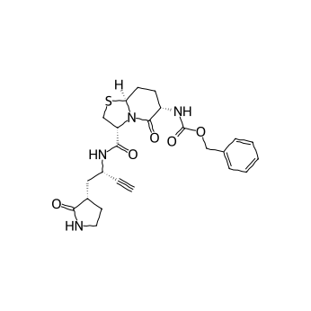 C#C[C@H](C[C@@H]1CCNC1=O)NC(=O)[C@@H]1CS[C@H]2CC[C@H](NC(=O)OCc3ccccc3)C(=O)N21